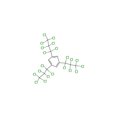 ClC(Cl)(Cl)C(Cl)(Cl)C(Cl)(Cl)c1[c]c(C(Cl)(Cl)C(Cl)(Cl)C(Cl)(Cl)Cl)cc(C(Cl)(Cl)C(Cl)(Cl)C(Cl)(Cl)Cl)c1